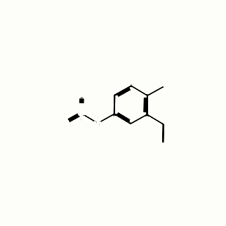 CCc1cc(N[SH](=O)=O)ccc1C